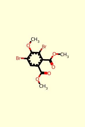 COC(=O)c1cc(Br)c(OC)c(Br)c1C(=O)OC